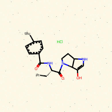 CC(C)C[C@H](NC(=O)c1ccc(C(C)(C)C)cc1)C(=O)N1CCC2NC=C(O)C21.Cl